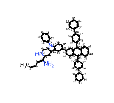 C/C=C\C=C(/N)C1=Cc2c(n(-c3ccccc3)c3ccc(-c4ccc5c(-c6ccc(-c7ccccc7)cc6)c6ccccc6c(-c6ccc(-c7ccccc7)cc6)c5c4)cc23)CN1